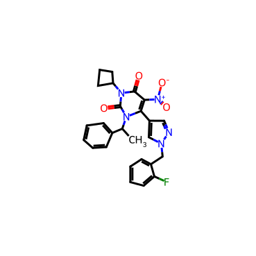 CC(c1ccccc1)n1c(-c2cnn(Cc3ccccc3F)c2)c([N+](=O)[O-])c(=O)n(C2CCC2)c1=O